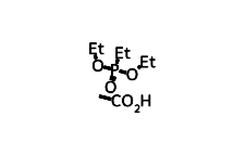 CC(=O)O.CCOP(=O)(CC)OCC